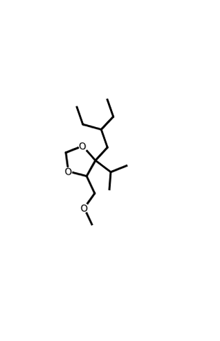 CCC(CC)CC1(C(C)C)OCOC1COC